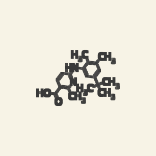 Cc1cc(C(C)(C)C)cc(Nc2ccc(C(=O)O)c(C)n2)c1C